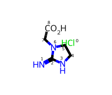 Cl.N=C1NCCN1CC(=O)O